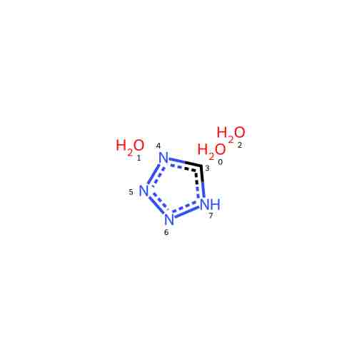 O.O.O.c1nnn[nH]1